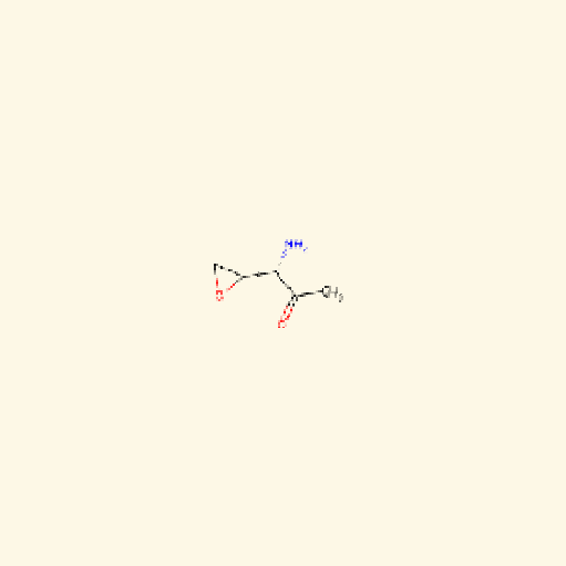 CC(=O)[C@@H](N)C1CO1